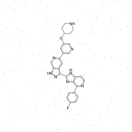 Fc1ccc(-c2nccc3[nH]c(-c4n[nH]c5cnc(-c6cncc(OC7CCNCC7)c6)cc45)nc23)cc1